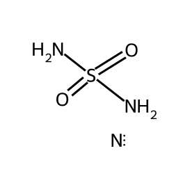 NS(N)(=O)=O.[N]